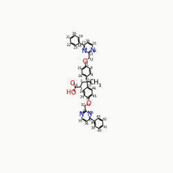 CC(CCC(=O)O)(c1ccc(OCc2nccc(-c3ccccc3)n2)cc1)c1ccc(OCc2nccc(-c3ccccc3)n2)cc1